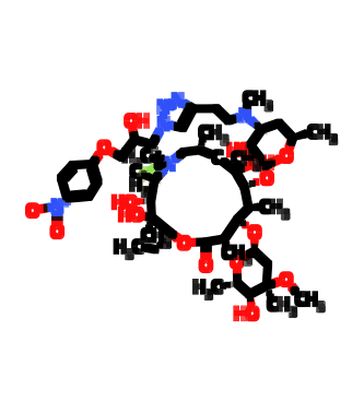 CC[C@H]1OC(=O)[C@H](C)[C@@H](O[C@H]2C[C@@](C)(OC)[C@@H](O)[C@H](C)O2)[C@H](C)[C@@H](O[C@@H]2O[C@H](C)C[C@H](N(C)CCc3cn([C@H](CF)C(O)COc4ccc([N+](=O)[O-])cc4)nn3)[C@H]2O)[C@](C)(O)C[C@@H](C)CN(C)[C@H](C)[C@@H](O)[C@]1(C)O